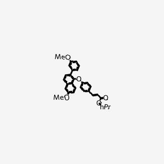 CCCOC(=O)C=Cc1ccc(Oc2c(-c3cccc(OC)c3)ccc3cc(OC)ccc23)cc1